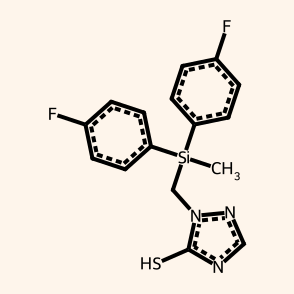 C[Si](Cn1ncnc1S)(c1ccc(F)cc1)c1ccc(F)cc1